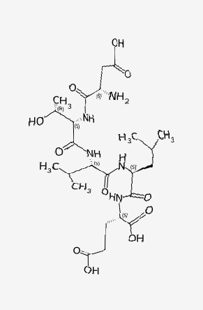 CC(C)C[C@H](NC(=O)[C@@H](NC(=O)[C@@H](NC(=O)[C@@H](N)CC(=O)O)[C@@H](C)O)C(C)C)C(=O)N[C@@H](CCC(=O)O)C(=O)O